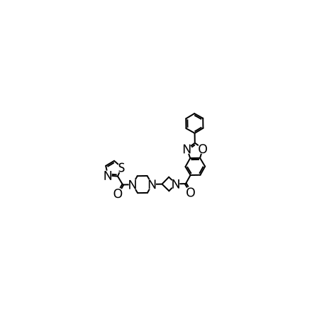 O=C(c1ccc2oc(-c3ccccc3)nc2c1)N1CC(N2CCN(C(=O)c3nccs3)CC2)C1